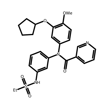 CCS(=O)(=O)Nc1cccc(N(C(=O)c2cccnc2)c2ccc(OC)c(OC3CCCC3)c2)c1